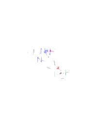 [O-][n+]1nc(Cl)nc2ccc(OC(F)(F)F)cc21